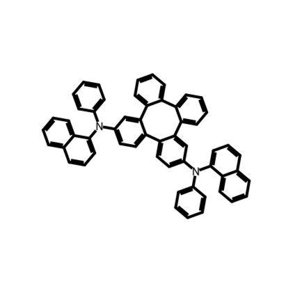 c1ccc(N(c2ccc3c(c2)-c2ccccc2-c2ccccc2-c2cc(N(c4ccccc4)c4cccc5ccccc45)ccc2-3)c2cccc3ccccc23)cc1